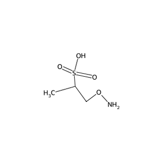 CC(CON)S(=O)(=O)O